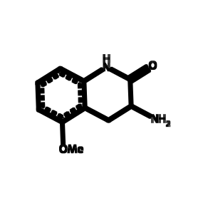 COc1cccc2c1CC(N)C(=O)N2